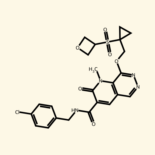 Cn1c(=O)c(C(=O)NCc2ccc(Cl)cc2)cc2cnnc(OCC3(S(=O)(=O)C4COC4)CC3)c21